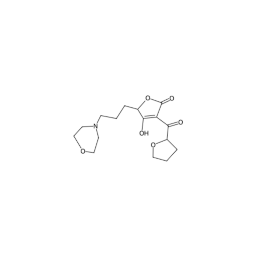 O=C1OC(CCCN2CCOCC2)C(O)=C1C(=O)C1CCCO1